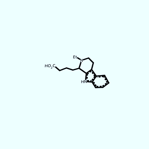 CCN1CCc2c([nH]c3ccccc23)C1CCCC(=O)O